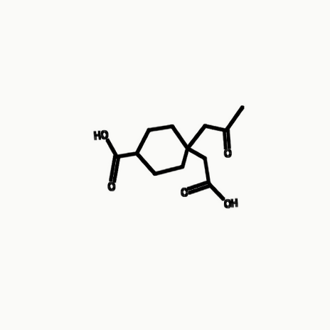 CC(=O)CC1(CC(=O)O)CCC(C(=O)O)CC1